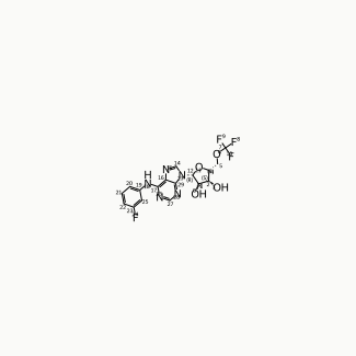 O[C@@H]1[C@H](O)[C@@H](COC(F)(F)F)O[C@H]1n1cnc2c(Nc3cccc(F)c3)ncnc21